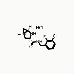 Cl.O=C(NCc1cccc(Cl)c1F)[C@@H]1C[C@H]2C[C@H]2N1